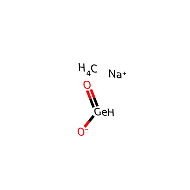 C.[Na+].[O]=[GeH][O-]